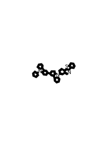 c1ccc(-n2c3ccccc3c3cc(-c4ccc5c(c4)c4ccccc4n5-c4ccc5c(cnc6c7ccccc7sc56)c4)ccc32)cc1